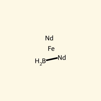 [BH2][Nd].[Fe].[Nd]